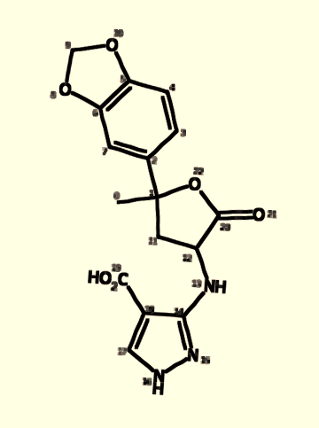 CC1(c2ccc3c(c2)OCO3)CC(Nc2n[nH]cc2C(=O)O)C(=O)O1